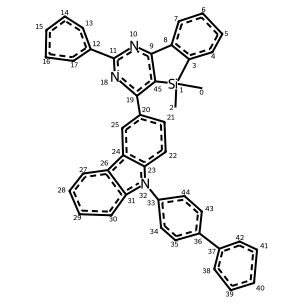 C[Si]1(C)c2ccccc2-c2nc(-c3ccccc3)nc(-c3ccc4c(c3)c3ccccc3n4-c3ccc(-c4ccccc4)cc3)c21